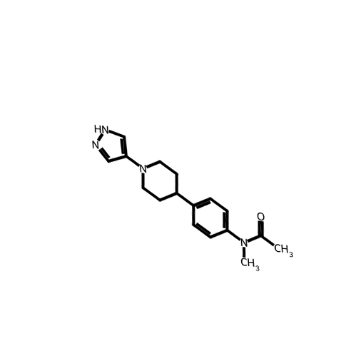 CC(=O)N(C)c1ccc(C2CCN(c3cn[nH]c3)CC2)cc1